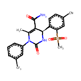 CC1=C(C(N)=O)[C@@H](c2ccc(C#N)cc2S(C)(=O)=O)NC(=O)N1c1cccc(C(F)(F)F)c1